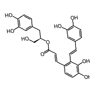 O=C(/C=C/c1ccc(O)c(O)c1/C=C/c1ccc(O)c(O)c1)O[C@@H](CO)Cc1ccc(O)c(O)c1